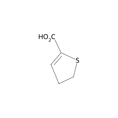 O=C(O)C1=CCCS1